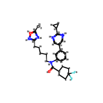 O=C(C1CCC(F)(F)CC1)N(CCCCCc1noc(C(F)(F)F)n1)c1cccc(-c2cnc(C3CC3)nc2)c1